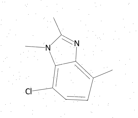 Cc1ccc(Cl)c2c1nc(C)n2C